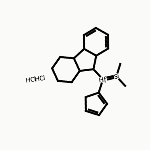 C[Si](C)=[Hf]([C]1=CC=CC1)[CH]1C2C=CC=CC2C2CCCCC21.Cl.Cl